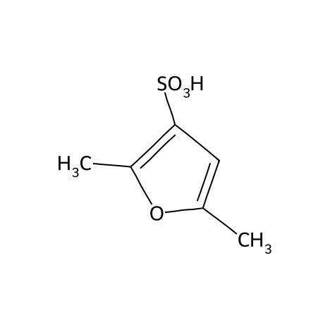 Cc1cc(S(=O)(=O)O)c(C)o1